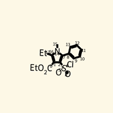 CCOC(=O)c1c(S(=O)(=O)Cl)c(-c2ccccc2)n(C)c1CC